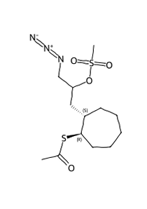 CC(=O)S[C@@H]1CCCCC[C@H]1CC(CN=[N+]=[N-])OS(C)(=O)=O